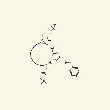 C[C@H]1CC/C=C\C2C[C@@]2(C(=O)NS(=O)(=O)C2(C)CC2)NC(=O)[C@@H]2C[C@@H](OC(=O)Nc3ccc(F)cc3)CN2C(=O)[C@@H](NC(=O)OC(C)(C)C)[C@H](C)C1